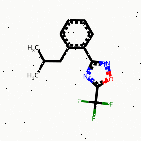 CC(C)Cc1ccccc1-c1noc(C(F)(F)F)n1